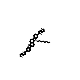 CCCCCCCCn1c2cc(-c3cc4sccc4s3)ccc2c2ccc3c(ccc4c5ccc(-c6cc7sccc7s6)cc5sc43)c21